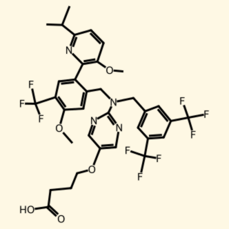 COc1cc(CN(Cc2cc(C(F)(F)F)cc(C(F)(F)F)c2)c2ncc(OCCCC(=O)O)cn2)c(-c2nc(C(C)C)ccc2OC)cc1C(F)(F)F